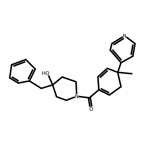 CC1(c2ccncc2)C=CC(C(=O)N2CCC(O)(Cc3ccccc3)CC2)=CC1